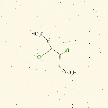 O=C(O)CC(Cl)C(Cl)CC(=O)O